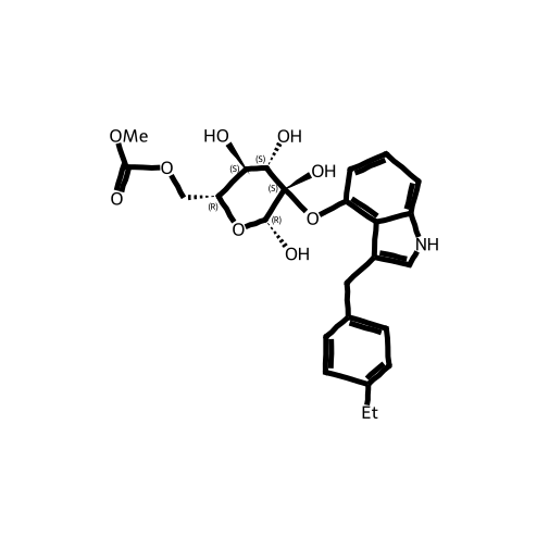 CCc1ccc(Cc2c[nH]c3cccc(O[C@]4(O)[C@H](O)O[C@H](COC(=O)OC)[C@@H](O)[C@@H]4O)c23)cc1